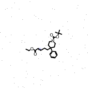 CCOC(=O)/C=C/CCC1(c2ccccc2)CCN(C(=O)OC(C)(C)C)CC1